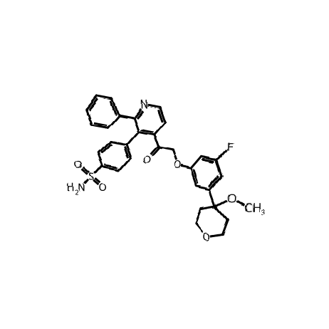 COC1(c2cc(F)cc(OCC(=O)c3ccnc(-c4ccccc4)c3-c3ccc(S(N)(=O)=O)cc3)c2)CCOCC1